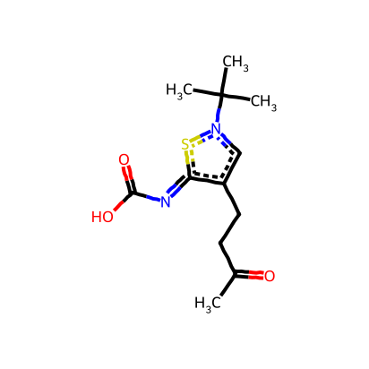 CC(=O)CCc1cn(C(C)(C)C)sc1=NC(=O)O